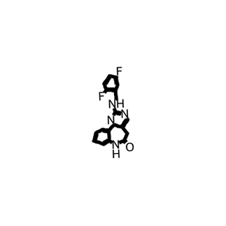 O=C1Cc2cnc(NCc3cc(F)ccc3F)nc2-c2ccccc2N1